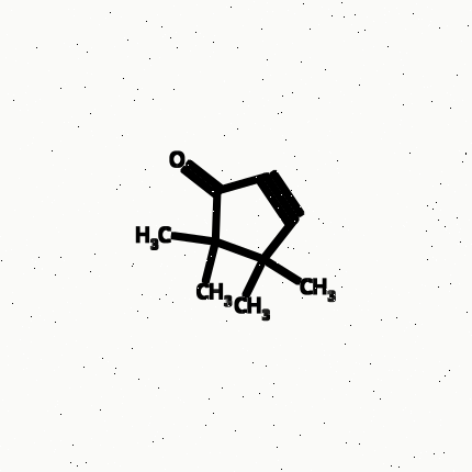 CC1(C)C#CC(=O)C1(C)C